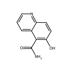 NC(=O)c1c(O)ccc2ncccc12